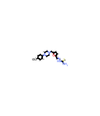 CC(C)(C)c1ccc(N2CCN(Cc3ccc(/C=N/NC(N)=S)o3)CC2)cc1